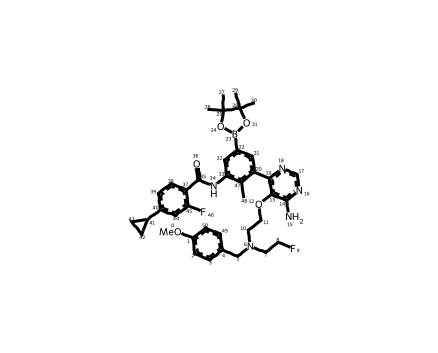 COc1ccc(CN(CCF)CCOc2c(N)ncnc2-c2cc(B3OC(C)(C)C(C)(C)O3)cc(NC(=O)c3ccc(C4CC4)cc3F)c2C)cc1